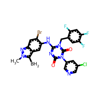 Bc1c2cc(Nc3nc(=O)n(-c4cncc(Cl)c4)c(=O)n3Cc3cc(F)c(F)cc3F)c(Br)cc2nn1C